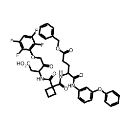 O=C(O)CC(NC(=O)C1(C(=O)NC(CCC(=O)OCc2ccccc2)C(=O)Nc2cccc(Oc3ccccc3)c2)CCC1)C(=O)COc1c(F)c(F)cc(F)c1F